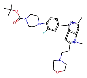 Cc1cc2c(cc(CCN3CCOCC3)n2C)c(-c2ccc(N3CCN(C(=O)OC(C)(C)C)CC3)c(F)c2)n1